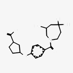 CC1CN(C(=O)c2ccc(OC3CCC(C(=O)O)C3)cc2)CCC(C)(C)C1